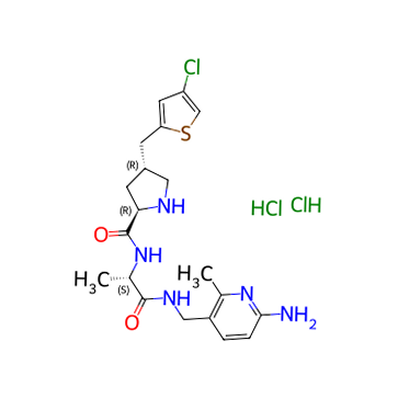 Cc1nc(N)ccc1CNC(=O)[C@H](C)NC(=O)[C@H]1C[C@H](Cc2cc(Cl)cs2)CN1.Cl.Cl